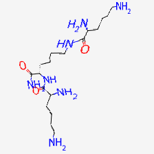 NCCCC[C@H](N)C(=O)NCCCC[C@H](NC(=O)[C@@H](N)CCCCN)C(N)=O